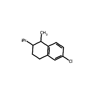 CC(C)C1CCc2cc(Cl)ccc2C1C